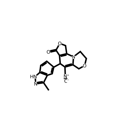 [C-]#[N+]C1=C2COCCN2C2=C(C(=O)OC2)C1c1ccc2[nH]nc(C)c2c1